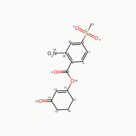 CS(=O)(=O)c1ccc(C(=O)OC2=CC(=O)CCC2)c([N+](=O)[O-])c1